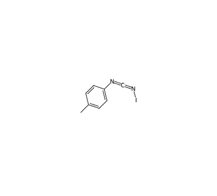 Cc1ccc(N=C=NI)cc1